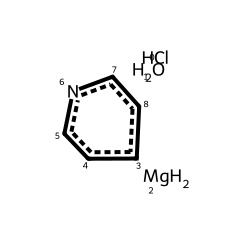 Cl.O.[MgH2].c1ccncc1